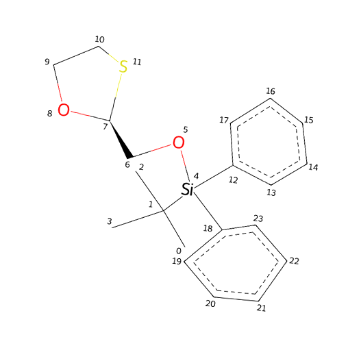 CC(C)(C)[Si](OC[C@H]1OCCS1)(c1ccccc1)c1ccccc1